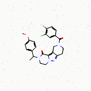 COc1ccc(C(C)N2CCn3nc4c(c3C2=O)CN(C(=O)c2ccc(Cl)c(Cl)c2)[C@H](C)C4)cc1